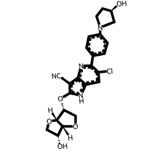 N#Cc1c(O[C@@H]2CO[C@H]3[C@@H]2OC[C@H]3O)[nH]c2cc(Cl)c(-c3ccc(N4CC[C@@H](O)C4)cc3)nc12